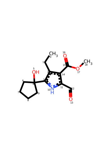 CCc1c(C2(O)CCCC2)[nH]c(C=O)c1C(=O)OC